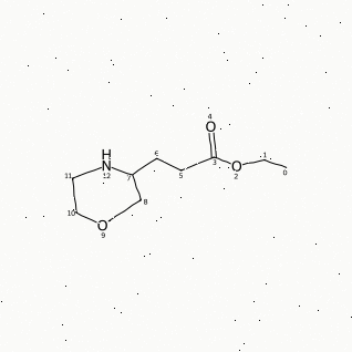 CCOC(=O)CCC1COCCN1